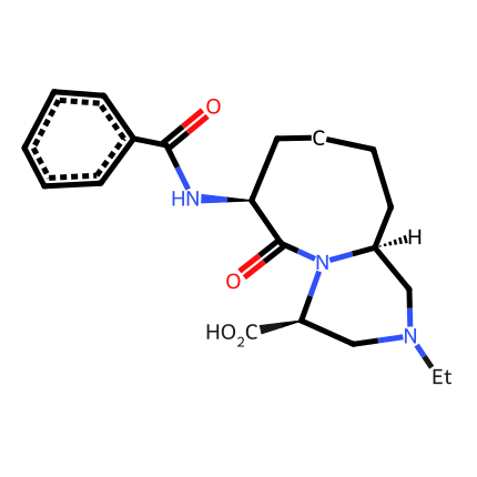 CCN1C[C@@H]2CCCC[C@H](NC(=O)c3ccccc3)C(=O)N2[C@H](C(=O)O)C1